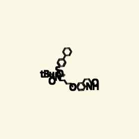 CC(C)(C)C(=O)[N+](=CCCCOc1ccc2c(c1)CCC(=O)N2)OSc1ccc(C2CCCCC2)cc1